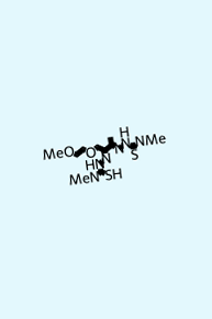 CNC(=S)N/N=C(C)/C(COCCOC)=N/NC(S)NC